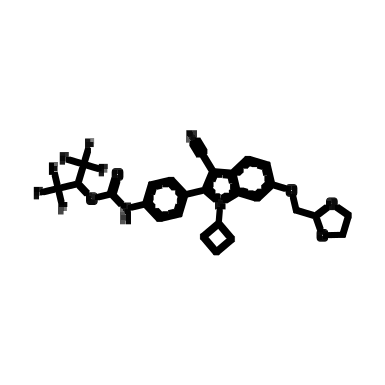 N#Cc1c(-c2ccc(NC(=O)OC(C(F)(F)F)C(F)(F)F)cc2)n(C2CCC2)c2cc(OCC3OCCO3)ccc12